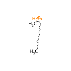 CCCCCCCCCCCCc1pp[pH]c1C